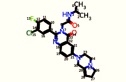 CC(C)NC(=O)Cn1c(-c2ccc(F)c(Cl)c2)nc2ccc(N3CCN4CCC=C4C3)cc2c1=O